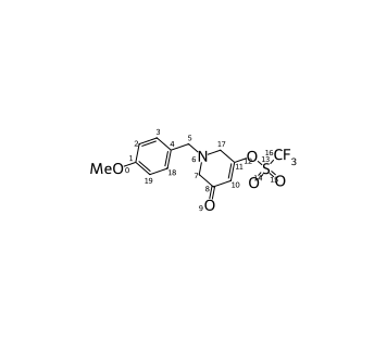 COc1ccc(CN2CC(=O)C=C(OS(=O)(=O)C(F)(F)F)C2)cc1